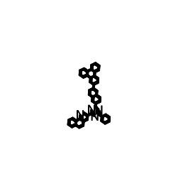 c1ccc(-c2nc(-c3ccc4cc(-c5ccc6c7ccccc7c7ccccc7c6c5)ccc4c3)nc(-c3cnc4c(ccc5ccccc54)c3)n2)cc1